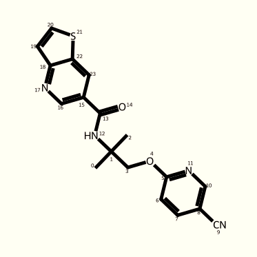 CC(C)(COc1ccc(C#N)cn1)NC(=O)c1cnc2ccsc2c1